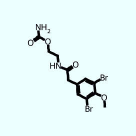 COc1c(Br)cc(CC(=O)NCCOC(N)=O)cc1Br